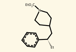 CCOC(=O)N1CCC(C[C@H](CC)c2ccccc2)CC1